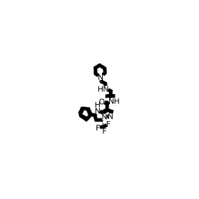 CC(C)(CNCCN1CCCCC1)NC(=O)c1cnn2c1NC(c1ccccc1)C[C@H]2C(F)(F)F